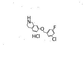 Cl.Fc1cc(Cl)cc(COc2ccc3c(c2)CNCC3)c1